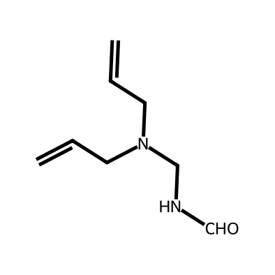 C=CCN(CC=C)CNC=O